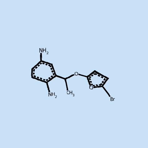 CC(Oc1ccc(Br)o1)c1cc(N)ccc1N